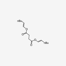 CCCCC=COC(=O)CCC(=O)OC=CCCCC